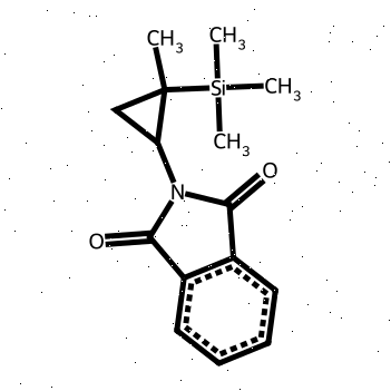 CC1([Si](C)(C)C)CC1N1C(=O)c2ccccc2C1=O